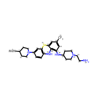 CNC1CCN(c2ccc3c(c2)Sc2cc(C(F)(F)F)cc(NC4CCN(CCN)CC4)c2N3)CC1